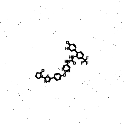 O=C(Nc1cnc(Oc2ccc(-c3cnc(N4CCCC4=O)s3)cc2)nc1)Nc1cc(C(F)(F)F)ccc1-c1ccc(=O)[nH]c1